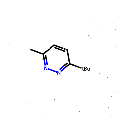 Cc1ccc(C(C)(C)C)nn1